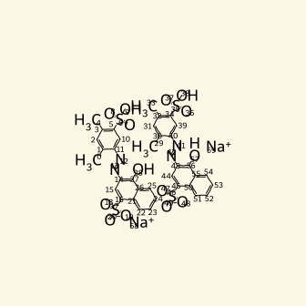 Cc1cc(C)c(S(=O)(=O)O)cc1N=Nc1cc(S(=O)(=O)[O-])c2ccccc2c1O.Cc1cc(C)c(S(=O)(=O)O)cc1N=Nc1cc(S(=O)(=O)[O-])c2ccccc2c1O.[Na+].[Na+]